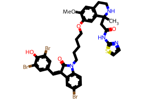 COc1cc2c(cc1OCCCCCN1C(=O)C(=Cc3cc(Br)c(O)c(Br)c3)c3cc(Br)ccc31)C(C)(CC(=O)Nc1nccs1)NCC2